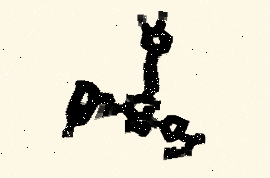 CNC(=O)C1CC[C@H](n2cnc3c(NCc4cccc(Cl)c4)nc(C#Cc4ccc(F)c(F)c4)nc32)C1